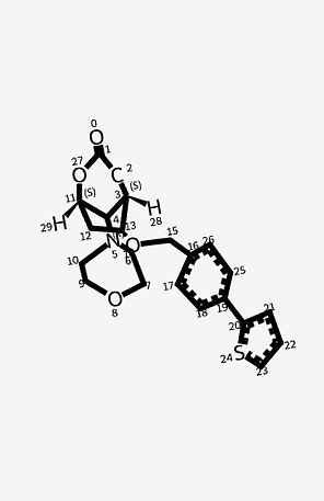 O=C1C[C@H]2C(N3CCOCC3)[C@H](C[C@H]2OCc2ccc(-c3cccs3)cc2)O1